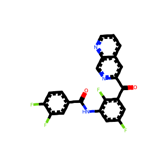 O=C(Nc1cc(F)cc(C(=O)c2cc3cccnc3cn2)c1F)c1ccc(F)c(F)c1